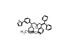 CC(O)CN(CC(C)O)C(CC(=O)CC(=C(c1ccccc1)c1ccccc1)c1ccccc1)c1cccc(-c2cccs2)c1